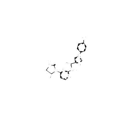 C[C@H](Nc1nccc(N2C(=O)NC[C@@H]2C)n1)c1cn(-c2ccc(Cl)cc2)cn1